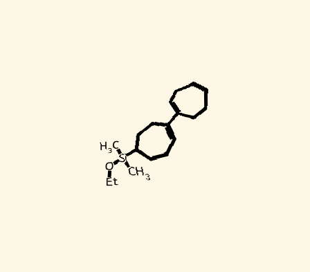 CCO[Si](C)(C)C1CCC=C(C2=CCCCCC2)CC1